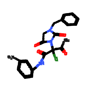 CC(C)(C)C(=O)C(Cl)(C(=O)Nc1cccc([N+](=O)[O-])c1)N1C(=O)CN(Cc2ccccc2)C1=O